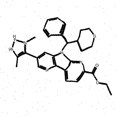 CCOC(=O)c1ccc2c3ncc(C4=C(C)NPN4C)cc3n(C(c3ccccc3)C3CCOCC3)c2n1